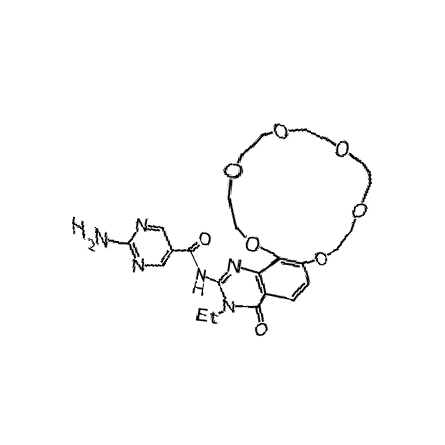 CCn1c(NC(=O)c2cnc(N)nc2)nc2c3c(ccc2c1=O)OCCOCCOCCOCCOCCO3